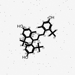 Cc1cc(O)cc(C(C)(C)C)c1CCCC(c1c(C)cc(O)cc1C(C)(C)C)c1c(C)cc(O)cc1C(C)(C)C